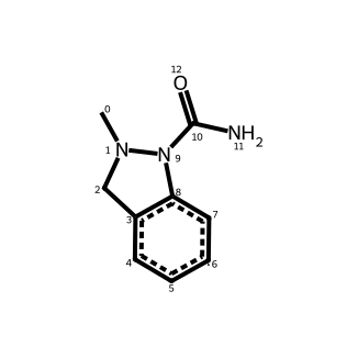 CN1Cc2cc[c]cc2N1C(N)=O